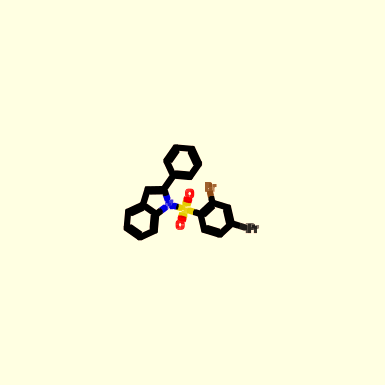 CC(C)c1ccc(S(=O)(=O)n2c(-c3ccccc3)cc3ccccc32)c(Br)c1